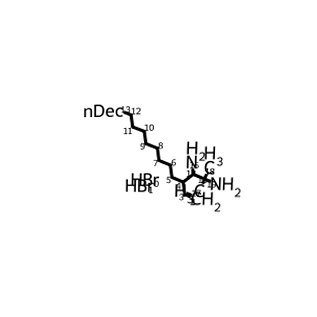 Br.Br.C=CC(CCCCCCCCCCCCCCCCCC)C(N)C(C)(C)N